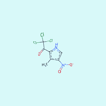 Cc1c([N+](=O)[O-])c[nH]c1C(=O)C(Cl)(Cl)Cl